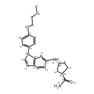 COCCOc1ccc(-n2cnc3cnc(N[C@@H]4CC[C@@H](C(N)=O)C4)nc32)cc1